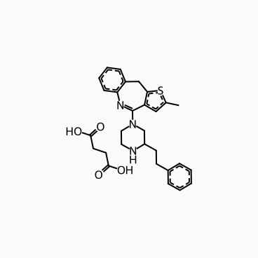 Cc1cc2c(s1)Cc1ccccc1N=C2N1CCNC(CCc2ccccc2)C1.O=C(O)CCC(=O)O